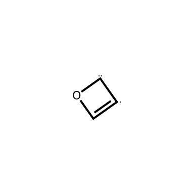 [C]1[C]=CO1